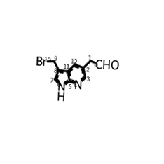 O=CCc1cnc2[nH]cc(CBr)c2c1